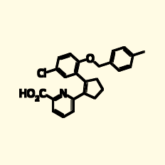 Cc1ccc(COc2ccc(Cl)cc2C2=C(c3cccc(C(=O)O)n3)CCC2)cc1